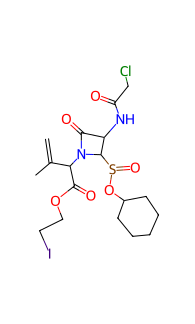 C=C(C)C(C(=O)OCCI)N1C(=O)C(NC(=O)CCl)C1S(=O)OC1CCCCC1